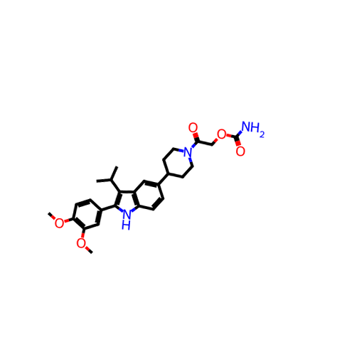 COc1ccc(-c2[nH]c3ccc(C4CCN(C(=O)COC(N)=O)CC4)cc3c2C(C)C)cc1OC